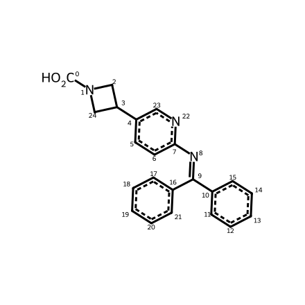 O=C(O)N1CC(c2ccc(N=C(c3ccccc3)c3ccccc3)nc2)C1